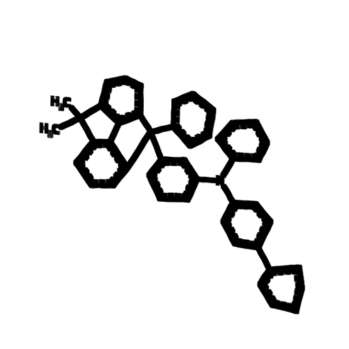 CC1(C)c2cccc3c2-c2c1cccc2C3(c1ccccc1)c1cccc(N(c2ccccc2)c2ccc(-c3ccccc3)cc2)c1